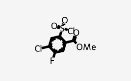 COC(=O)c1cc(F)c(Cl)cc1S(=O)(=O)Cl